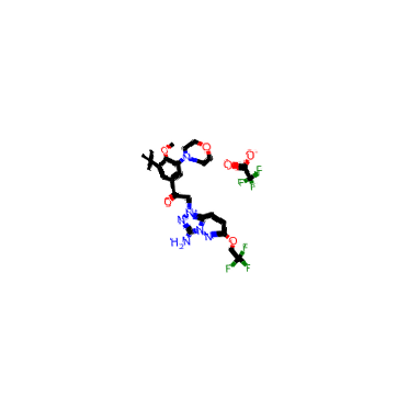 COc1c(N2CCOCC2)cc(C(=O)C[n+]2nc(N)n3nc(OCC(F)(F)F)ccc32)cc1C(C)(C)C.O=C([O-])C(F)(F)F